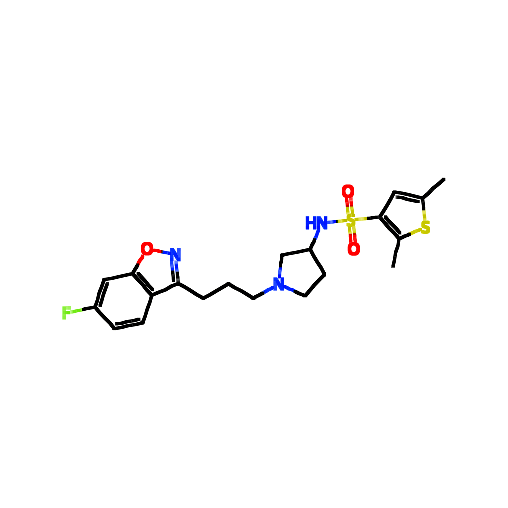 Cc1cc(S(=O)(=O)NC2CCN(CCCc3noc4cc(F)ccc34)C2)c(C)s1